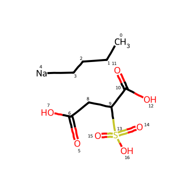 CCC[CH2][Na].O=C(O)CC(C(=O)O)S(=O)(=O)O